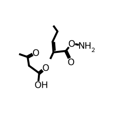 CC(=O)CC(=O)O.CCC=C(C)C(=O)ON